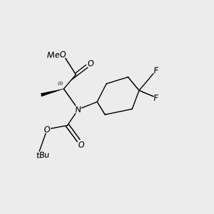 COC(=O)[C@H](C)N(C(=O)OC(C)(C)C)C1CCC(F)(F)CC1